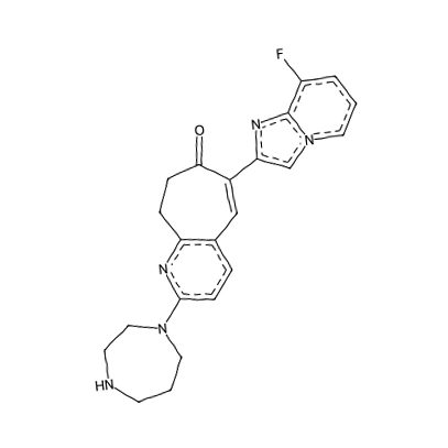 O=C1CCc2nc(N3CCCNCC3)ccc2C=C1c1cn2cccc(F)c2n1